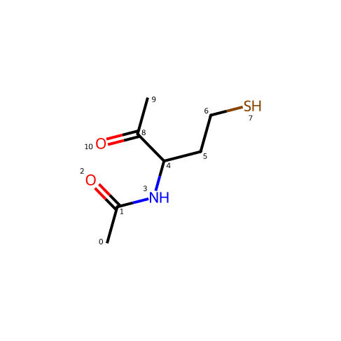 CC(=O)NC(CCS)C(C)=O